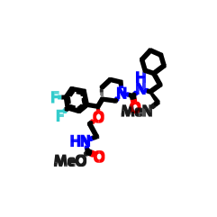 CNC[C@H](CC1CCCCC1)NC(=O)N1CCC[C@@H]([C@@H](OCCNC(=O)OC)c2ccc(F)c(F)c2)C1